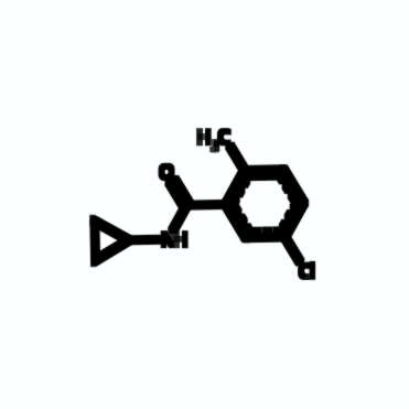 Cc1ccc(Cl)cc1C(=O)NC1CC1